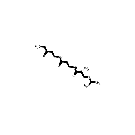 CCC(=O)CCNC(=O)CCNC(=O)[C@H](N)CSC(C)C